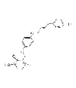 Cc1ccn(O)c(=O)c1COc1ccc(OCC=CCc2ccc(Cl)cc2)cc1